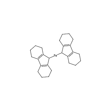 C1CCC2=C(C1)C1=C(CCCC1)[CH]2[Fe][CH]1C2=C(CCCC2)C2=C1CCCC2